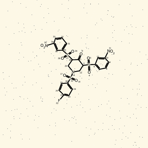 O=C1C(S(=O)(=O)c2cccc([N+](=O)[O-])c2)CN(S(=O)(=O)c2ccc(F)cc2)CC1S(=O)(=O)c1cccc([N+](=O)[O-])c1